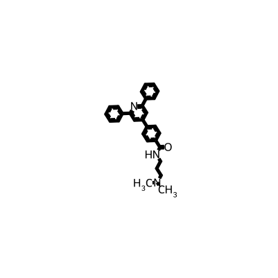 CN(C)CCCNC(=O)c1ccc(-c2cc(-c3ccccc3)nc(-c3ccccc3)c2)cc1